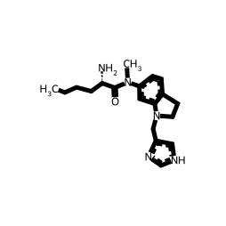 CCCC[C@H](N)C(=O)N(C)c1ccc2c(c1)N(Cc1c[nH]cn1)CC2